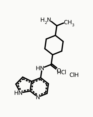 CC(N)C1CCC(C(=O)Nc2ccnc3[nH]ccc23)CC1.Cl.Cl